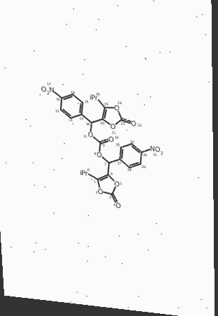 CC(C)c1oc(=O)oc1C(OC(=O)OC(c1ccc([N+](=O)[O-])cc1)c1oc(=O)oc1C(C)C)c1ccc([N+](=O)[O-])cc1